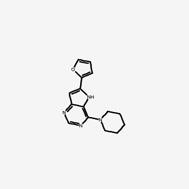 c1coc(-c2cc3ncnc(N4CCCCC4)c3[nH]2)c1